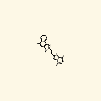 Cc1cc2c(nc(CCc3nc4c(C)ncc(C)n4n3)n2C)c2ccccc12